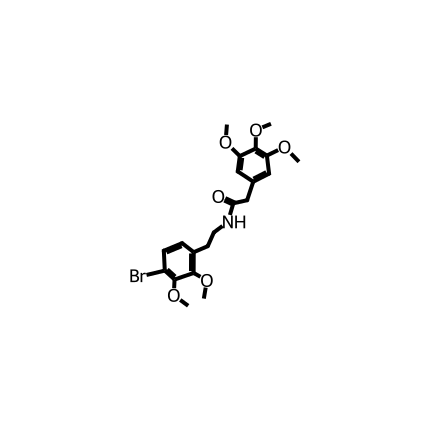 COc1cc(CC(=O)NCCc2ccc(Br)c(OC)c2OC)cc(OC)c1OC